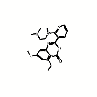 CCc1cc(OC)cc2nc(-c3cccnc3N(C)CCN(C)C)oc(=O)c12